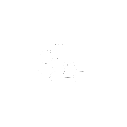 O=C(O)NC1CCc2ccc(O)cc2C1Cc1ccc(Cl)c(Cl)c1